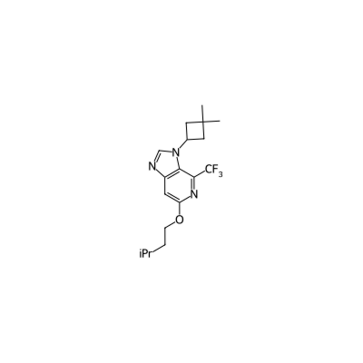 CC(C)CCOc1cc2ncn(C3CC(C)(C)C3)c2c(C(F)(F)F)n1